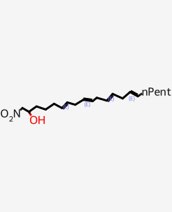 CCCCC/C=C/C/C=C/C/C=C/C/C=C/CCCC(O)C[N+](=O)[O-]